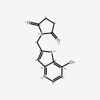 O=C1CCC(=O)N1Cc1cc2nccc(Cl)c2s1